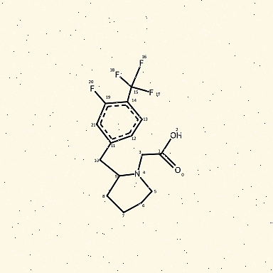 O=C(O)CN1CCCCC1Cc1ccc(C(F)(F)F)c(F)c1